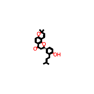 CC(C)=CCc1cc([C@@H]2CC(=O)c3ccc4c(c3O2)C=CC(C)(C)O4)ccc1O